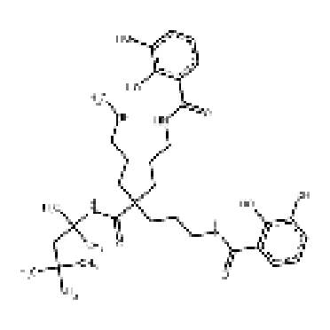 CNCCCC(CCCNC(=O)c1cccc(O)c1O)(CCCNC(=O)c1cccc(O)c1O)C(=O)NC(C)(C)CC(C)(C)N